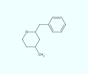 [CH2]C1CCOC(Cc2ccccc2)C1